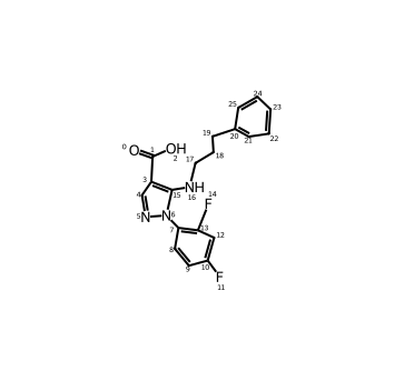 O=C(O)c1cnn(-c2ccc(F)cc2F)c1NCCCc1ccccc1